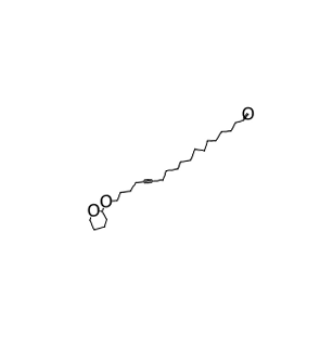 O=CCCCCCCCCCCCCC#CCCCCOC1CCCCO1